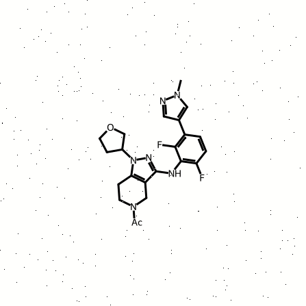 CC(=O)N1CCc2c(c(Nc3c(F)ccc(-c4cnn(C)c4)c3F)nn2C2CCOC2)C1